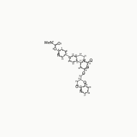 CNC(=O)Oc1ccc(-c2ccc3c(c2)CCn2c-3cc(OCC3COc4ncccc4O3)nc2=O)cn1